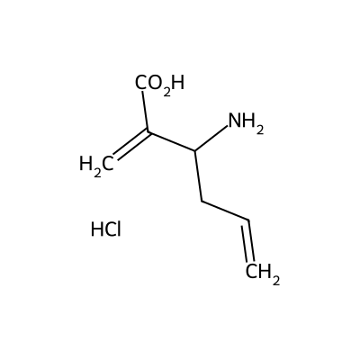 C=CCC(N)C(=C)C(=O)O.Cl